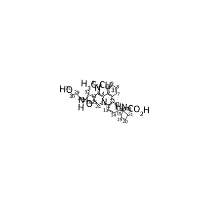 CN(C)C1=C(c2ccccc2)N(c2ccc(C3(NC(=O)O)CCC3)cc2)Cc2oc(NCCO)cc21